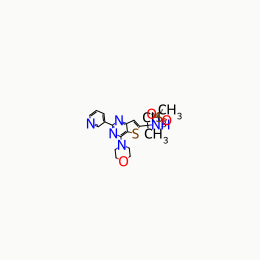 CC(C)(NS(C)(=O)=O)c1cc2nc(-c3cccnc3)nc(N3CCOCC3)c2s1